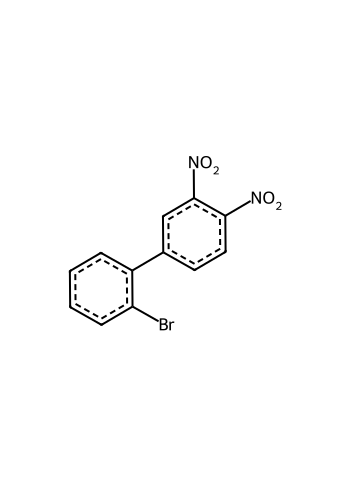 O=[N+]([O-])c1ccc(-c2ccccc2Br)cc1[N+](=O)[O-]